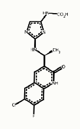 C[C@H](Nc1ncc(NC(=O)O)s1)c1cc2cc(Cl)c(F)cc2[nH]c1=O